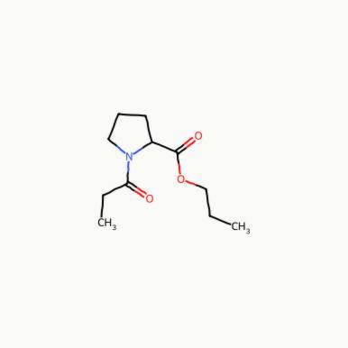 CCCOC(=O)C1CCCN1C(=O)CC